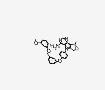 COc1cccc(OCc2cccc(Oc3ccc(-n4c5c(c6ncnc(N)c64)C(C)OC5)cc3)c2)c1